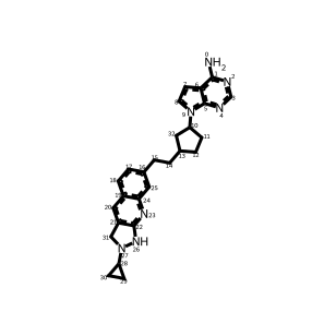 Nc1ncnc2c1ccn2C1CCC(CCc2ccc3cc4c(nc3c2)NN(C2CC2)C4)C1